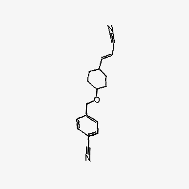 N#CC=CC1CCC(OCc2ccc(C#N)cc2)CC1